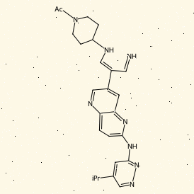 CC(=O)N1CCC(N/C=C(\C=N)c2cnc3ccc(Nc4cc(C(C)C)cnn4)nc3c2)CC1